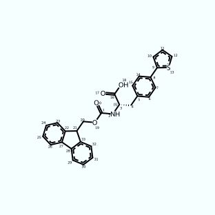 O=C(N[C@@H](Cc1ccc(-c2cccs2)cc1)C(=O)O)OCC1c2ccccc2-c2ccccc21